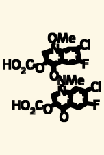 CNn1cc(OC(=O)O)c(=O)c2cc(F)c(Cl)cc21.COn1cc(OC(=O)O)c(=O)c2cc(F)c(Cl)cc21